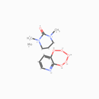 CN1CCCN(C)C1=O.[Mo].c1cnc2c(c1)OOOOO2